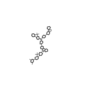 Cc1cc(C)cc(-c2ccc3c(c2)C(C)(C)c2cc(-n4c5ccccc5c5cc(-c6ccc(N(c7ccc(-c8ccc9oc%10ccccc%10c9c8)cc7)c7ccc8c(c7)C(C)(C)c7ccccc7-8)cc6)ccc54)ccc2-3)c1